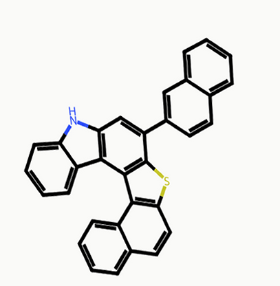 c1ccc2cc(-c3cc4[nH]c5ccccc5c4c4c3sc3ccc5ccccc5c34)ccc2c1